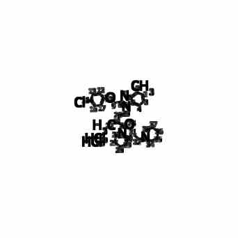 Cc1cccc2c1nc(COc1ccc(Cl)cc1)n2CCC(C)C(=O)N1CCCC[C@H]1CCN1CCCCC1.Cl.Cl